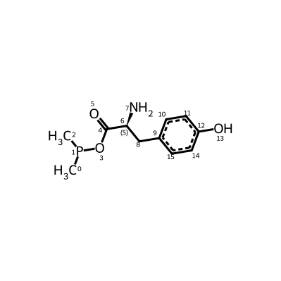 CP(C)OC(=O)[C@@H](N)Cc1ccc(O)cc1